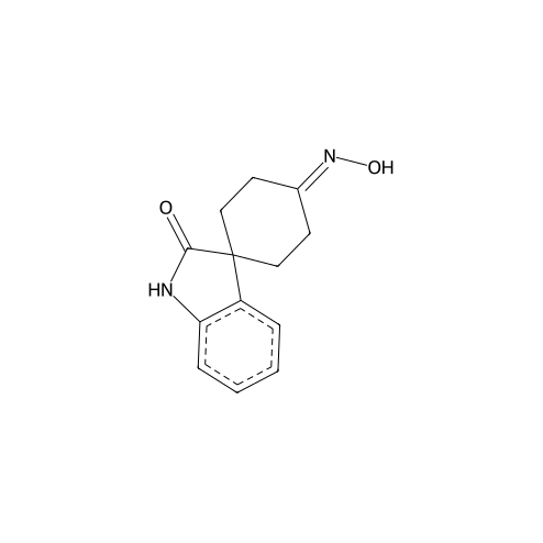 O=C1Nc2ccccc2C12CCC(=NO)CC2